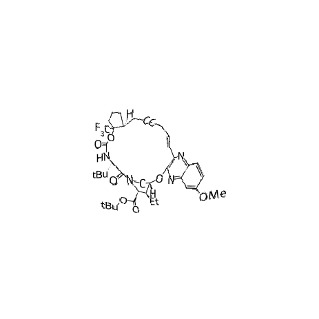 CC[C@@H]1[C@@H]2CN(C(=O)[C@H](C(C)(C)C)NC(=O)OC3(C(F)(F)F)CCC[C@H]3CCCC/C=C/c3nc4ccc(OC)cc4nc3O2)[C@@H]1C(=O)OC(C)(C)C